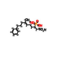 CC(=CCCC(CS(=O)(=O)O)P(=O)(O)O)CCCc1ccccc1